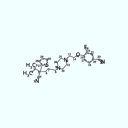 CC(C)C(C#N)(CCCN1CCN(CCOc2ccc(C#N)cc2F)CC1)c1cccs1